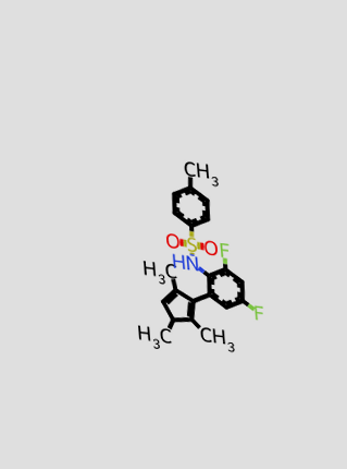 CC1=CC(C)C(C)=C1c1cc(F)cc(F)c1NS(=O)(=O)c1ccc(C)cc1